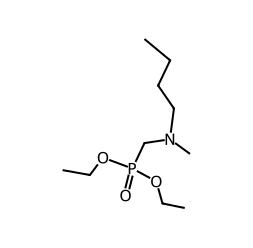 CCCCN(C)CP(=O)(OCC)OCC